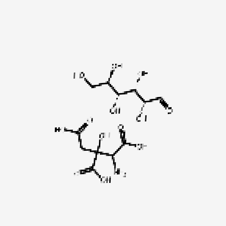 NC(C(=O)O)C(O)(CC(=O)O)C(=O)O.O=C[C@H](O)[C@@H](O)[C@H](O)[C@H](O)CO